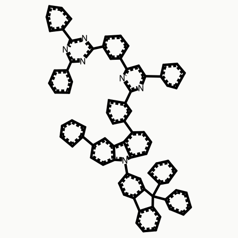 c1ccc(-c2ccc3c(c2)c2c(-c4cccc(-c5nc(-c6ccccc6)cc(-c6cccc(-c7nc(-c8ccccc8)nc(-c8ccccc8)n7)c6)n5)c4)cccc2n3-c2ccc3c(c2)C(c2ccccc2)(c2ccccc2)c2ccccc2-3)cc1